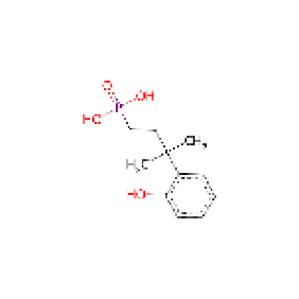 CC(C)(CCP(=O)(O)O)c1ccccc1O